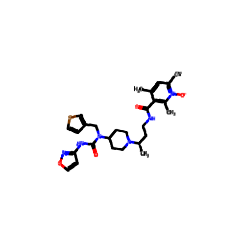 Cc1cc(C#N)[n+]([O-])c(C)c1C(=O)NCC[C@@H](C)N1CCC(N(Cc2ccsc2)C(=O)Nc2ccon2)CC1